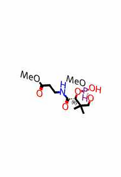 [CH2]O[PH]1(O)OCC(C)(C)[C@H](C(=O)NCCC(=O)OC)O1